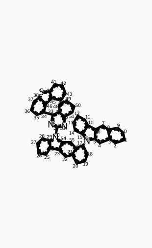 c1ccc2cc3c(cc2c1)c1ccccc1n3-c1cccc2cc3c4ccccc4n(-c4nc(-c5cccc6sc7ccccc7c56)c5ccccc5n4)c3cc12